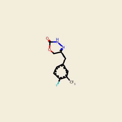 O=C1NN=C(Cc2ccc(F)c(C(F)(F)F)c2)CO1